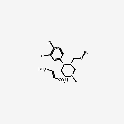 CCOC[C@H]1CN(C)CC[C@H]1c1ccc(Cl)c(Cl)c1.O=C(O)/C=C/C(=O)O